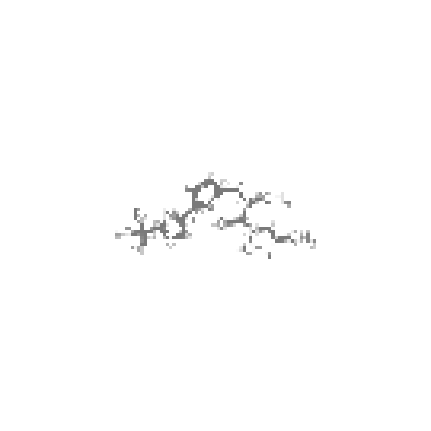 C=CCN(C)C(=O)N(C)Cc1ccc(-c2noc(C(F)(F)F)n2)s1